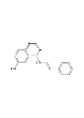 Oc1ccc2ncnc(NC=Cc3ccccc3)c2c1